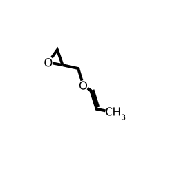 C/C=C/OCC1CO1